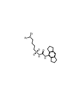 CCN(CCCCS(=O)(=O)NC(=O)Nc1c2c(cc3c1CCC3)CCC2)C(C)=O